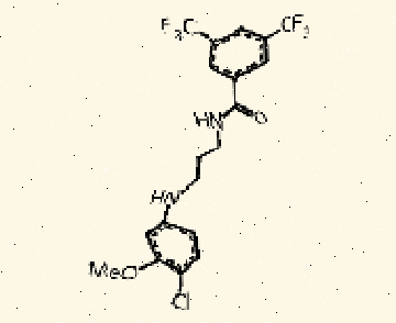 COc1cc(NCCCNC(=O)c2cc(C(F)(F)F)cc(C(F)(F)F)c2)ccc1Cl